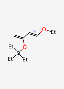 C=C(/C=C/OCC)O[Si](CC)(CC)CC